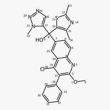 COc1nc2ccc(C(O)(c3sc(C)nc3C)c3cnnn3C)cc2c(Cl)c1-c1ccccc1